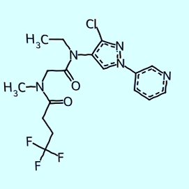 CCN(C(=O)CN(C)C(=O)CCC(F)(F)F)c1cn(-c2cccnc2)nc1Cl